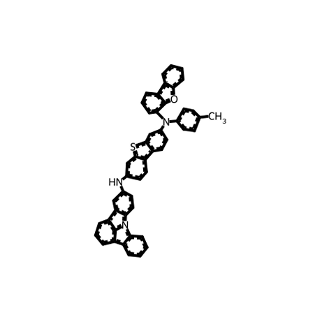 Cc1ccc(N(c2ccc3c(c2)sc2cc(Nc4ccc5c(c4)c4cccc6c7ccccc7n5c64)ccc23)c2cccc3c2oc2ccccc23)cc1